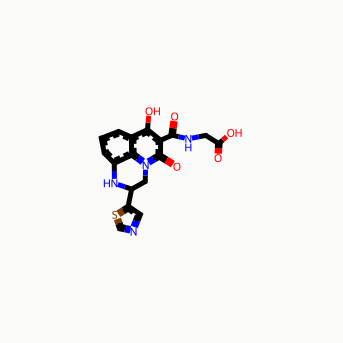 O=C(O)CNC(=O)c1c(O)c2cccc3c2n(c1=O)CC(c1cncs1)N3